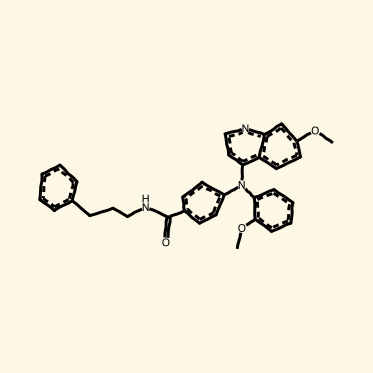 COc1ccc2c(N(c3ccc(C(=O)NCCCc4ccccc4)cc3)c3ccccc3OC)ccnc2c1